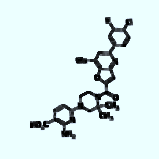 CC(C)(C)c1cc(-c2ccc(Cl)c(F)c2)nc2cc(C(=O)N3CCN(c4ccc(C(=O)O)c(N)n4)CC3(C)C)oc12